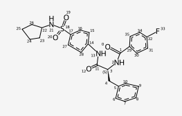 O=C(N[C@@H](Cc1ccccc1)C(=O)Nc1ccc(S(=O)(=O)NC2CCCC2)cc1)c1ccc(F)cc1